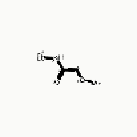 CCNC(=O)COC(C)=O